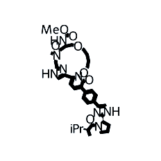 COC(=O)N[C@H]1COCCCCOn2c(ccc(-c3ccc(-c4c[nH]c([C@@H]5CCCN5C(=O)[C@@H](C)C(C)C)n4)cc3)c2=O)-c2c[nH]c(n2)CN(C)C1=O